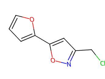 ClCc1cc(-c2ccco2)on1